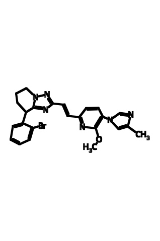 COc1nc(C=Cc2nc3n(n2)CCCC3c2ccccc2Br)ccc1-n1cnc(C)c1